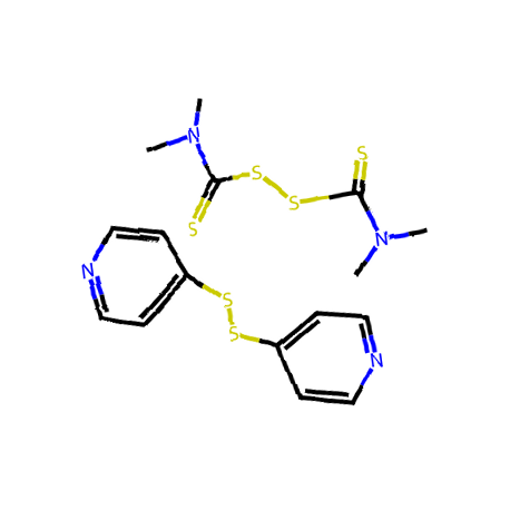 CN(C)C(=S)SSC(=S)N(C)C.c1cc(SSc2ccncc2)ccn1